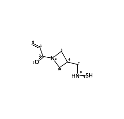 C=CC(=O)N1CC(CNS)C1